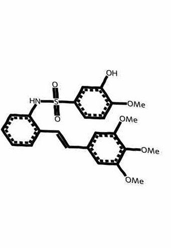 COc1ccc(S(=O)(=O)Nc2ccccc2C=Cc2cc(OC)c(OC)c(OC)c2)cc1O